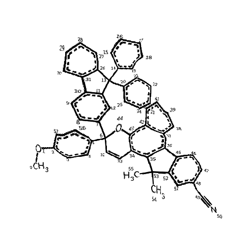 COc1ccc(C2(c3ccc4c(c3)C(c3ccccc3)(c3ccccc3)c3ccccc3-4)C=Cc3c4c(c5ccccc5c3O2)-c2ccc(C#N)cc2C4(C)C)cc1